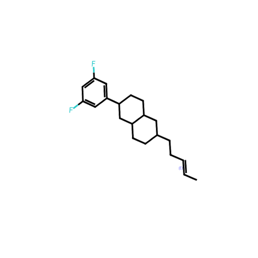 C/C=C/CCC1CCC2CC(c3cc(F)cc(F)c3)CCC2C1